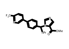 CCCC(c1ccc(-c2ccc(C(F)(F)F)nc2)cc1)n1cncc1C(=O)OC